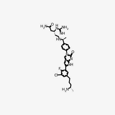 C[C@H](N)CCCc1cc(Cl)c(F)c(-c2cc3cn(-c4ccc([C@H](C)NCC[C@H](CC(N)=O)NC(=N)N)cc4)c(=O)nc3[nH]2)c1